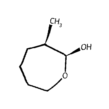 C[C@@H]1CCCCO[C@@H]1O